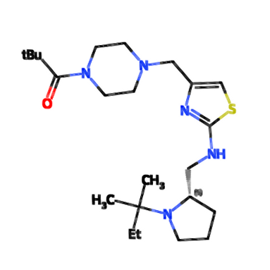 CCC(C)(C)N1CCC[C@H]1CNc1nc(CN2CCN(C(=O)C(C)(C)C)CC2)cs1